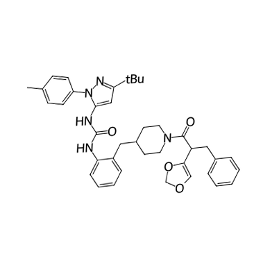 Cc1ccc(-n2nc(C(C)(C)C)cc2NC(=O)Nc2ccccc2CC2CCN(C(=O)C(Cc3ccccc3)C3=COCO3)CC2)cc1